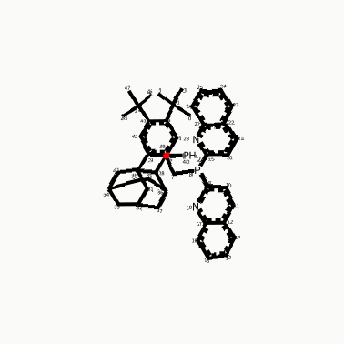 CC(C)(C)c1cc(CP(c2ccc3ccccc3n2)c2ccc3ccccc3n2)c(C23CC4CC(CC(C4)C2CP)C3)cc1C(C)(C)C